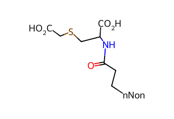 CCCCCCCCCCCC(=O)NC(CSCC(=O)O)C(=O)O